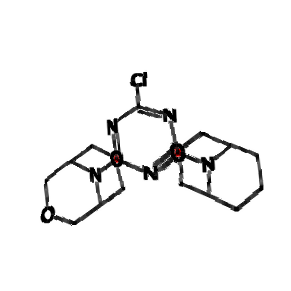 Clc1nc(N2C3CCCC2COC3)nc(N2C3COCC2COC3)n1